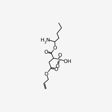 C=CCOC(=O)CC(C(=O)OC(N)CCCC)S(=O)(=O)O